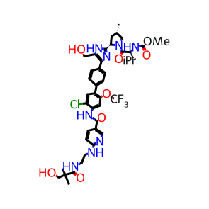 COC(=O)N[C@H](C(=O)N1C[C@@H](C)C[C@H]1c1nc(-c2ccc(-c3cc(Cl)c(NC(=O)c4ccc(NCCNC(=O)C(C)(C)CO)nc4)cc3OC(F)(F)F)cc2)c(CO)[nH]1)C(C)C